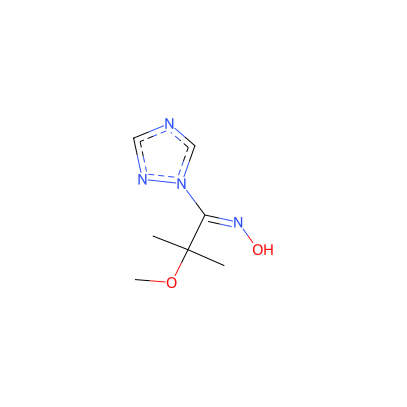 COC(C)(C)C(=NO)n1cncn1